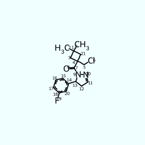 CC1(C)CC(CCl)(C(=O)N2N=CCC2c2cccc(F)c2)C1